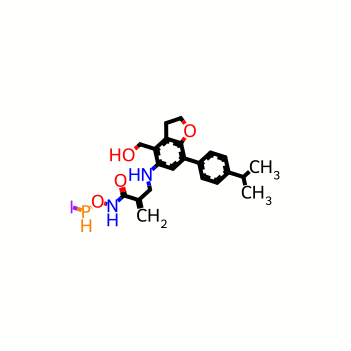 C=C(CNc1cc(-c2ccc(C(C)C)cc2)c2c(c1CO)CCO2)C(=O)NOPI